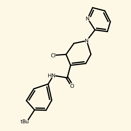 CC(C)(C)c1ccc(NC(=O)C2=CCN(c3ccccn3)CC2Cl)cc1